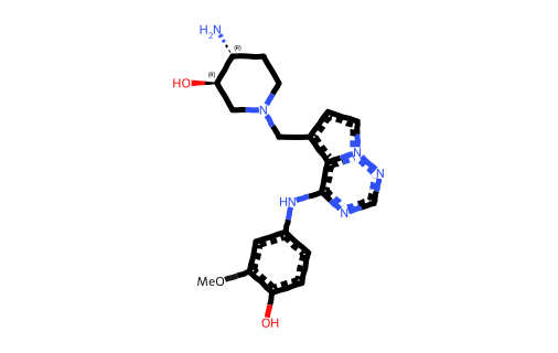 COc1cc(Nc2ncnn3ccc(CN4CC[C@@H](N)[C@H](O)C4)c23)ccc1O